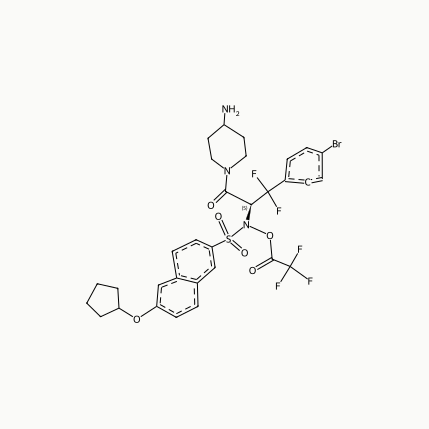 NC1CCN(C(=O)[C@H](N(OC(=O)C(F)(F)F)S(=O)(=O)c2ccc3cc(OC4CCCC4)ccc3c2)C(F)(F)c2ccc(Br)cc2)CC1